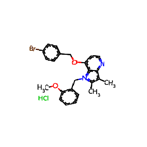 COc1ccccc1Cn1c(C)c(C)c2nccc(OCc3ccc(Br)cc3)c21.Cl